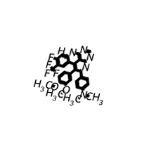 COc1ccc(-c2c(-c3ccc(N(C)C)cc3)nc3ncnc(N)c3c2-c2ccc(F)c(C(F)(F)F)c2)cc1OC